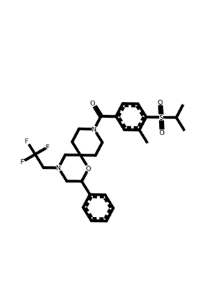 Cc1cc(C(=O)N2CCC3(CC2)CN(CC(F)(F)F)CC(c2ccccc2)O3)ccc1S(=O)(=O)C(C)C